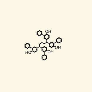 Oc1ccc(C(CCCC(c2ccc(O)c(-c3ccccc3)c2)c2ccc(O)c(-c3ccccc3)c2)c2ccc(O)c(-c3ccccc3)c2)cc1-c1ccccc1